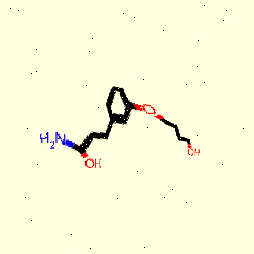 NC(O)CCc1cccc(OCCCCO)c1